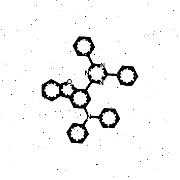 c1ccc(-c2nc(-c3ccccc3)nc(-c3cc(N(c4ccccc4)c4ccccc4)cc4c3oc3ccccc34)n2)cc1